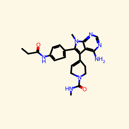 CCC(=O)Nc1ccc(-c2c(C3=CCN(C(=O)NC)CC3)c3c(N)ncnc3n2C)cc1